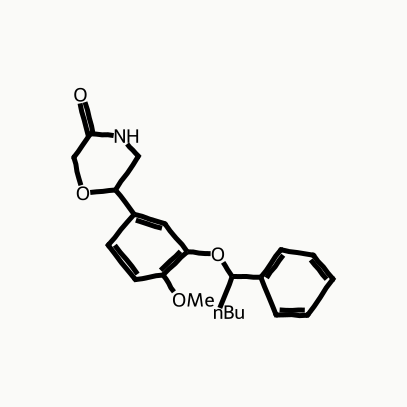 CCCCC(Oc1cc(C2CNC(=O)CO2)ccc1OC)c1ccccc1